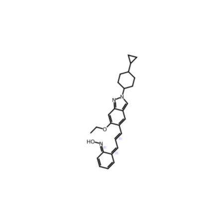 CCOc1cc2nn(C3CCC(C4CC4)CC3)cc2cc1/C=C/C=C1/C=CC=C/C1=N\O